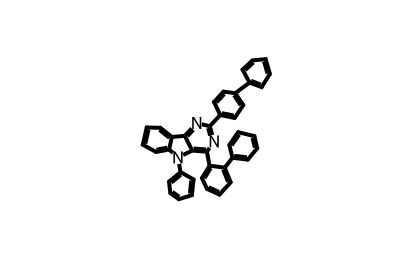 c1ccc(-c2ccc(-c3nc(-c4ccccc4-c4ccccc4)c4c(n3)c3ccccc3n4-c3ccccc3)cc2)cc1